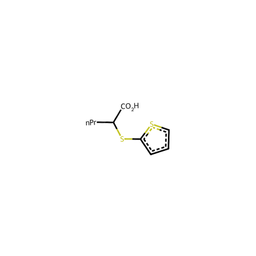 CCCC(Sc1cccs1)C(=O)O